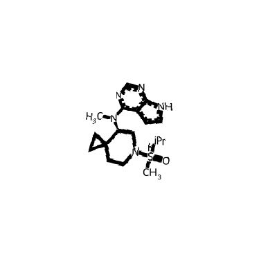 CC(C)[SH](C)(=O)N1CCC2(CC2)[C@@H](N(C)c2ncnc3[nH]ccc23)C1